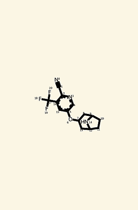 N#Cc1ncc(OC2CC3CCC(C2)N3)cc1C(F)(F)F